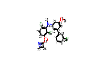 COc1cc(-c2cccc(F)c2)cc(N(C)c2c(F)ccc(OC3=NC=C3)c2F)c1